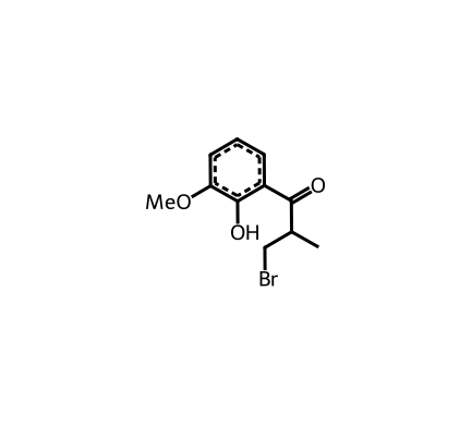 COc1cccc(C(=O)C(C)CBr)c1O